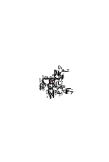 CC(C)c1ncc(C(=O)Nc2c(-c3ccccc3F)ccnc2[C@H]2CC[C@@H](F)CC2)cn1